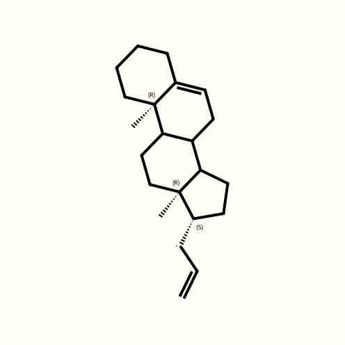 C=C[CH][C@H]1CCC2C3CC=C4CCCC[C@]4(C)C3CC[C@@]21C